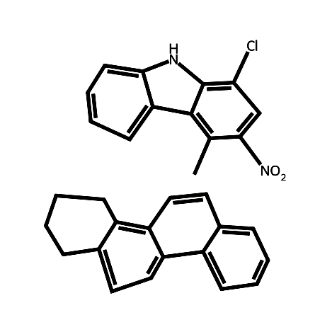 Cc1c([N+](=O)[O-])cc(Cl)c2[nH]c3ccccc3c12.c1ccc2c(c1)ccc1c3c(ccc12)CCCC3